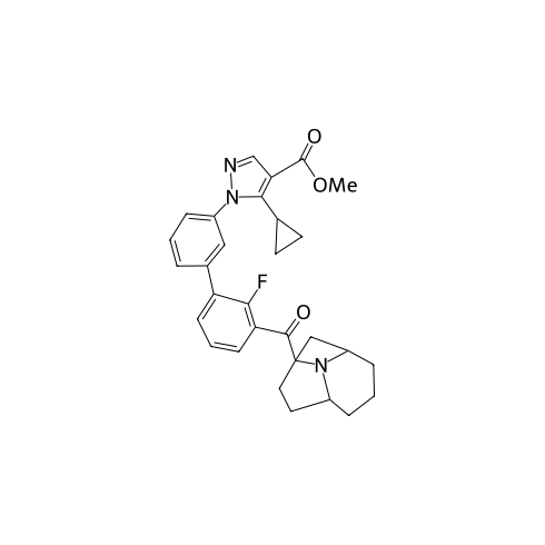 COC(=O)c1cnn(-c2cccc(-c3cccc(C(=O)C45CCC6CCCC(C4)N65)c3F)c2)c1C1CC1